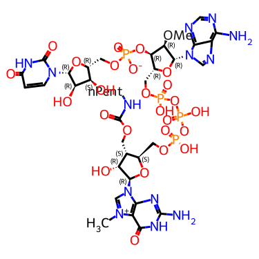 CCCCCNC(=O)OC[C@H]1[C@@H](O)[C@H](n2c[n+](C)c3c(=O)[nH]c(N)nc32)O[C@@H]1COP(=O)(O)OP(=O)(O)OP(=O)(O)OC[C@H]1O[C@@H](n2cnc3c(N)ncnc32)[C@H](OC)[C@@H]1OP(=O)([O-])OC[C@H]1O[C@@H](n2ccc(=O)[nH]c2=O)[C@H](O)[C@@H]1O